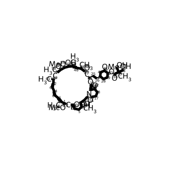 CO[C@H]1C[C@@H]2CC[C@@H](C)[C@@](O)(O2)C(=O)C(=O)N2CCCC[C@H]2C(=O)O[C@H](CC[C@@H]2CC[C@@H](OC(=O)C(C)(CO)CO)[C@H](OC)C2)CC(=O)[C@H](C)/C=C(\C)[C@@H](O)[C@@H](OC)C(=O)[C@H](C)C[C@H](C)/C=C/C=C/C=C/1C